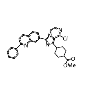 COC(=O)C1CCC(c2nc(-c3ccc4ccc(-c5ccccc5)nc4c3)n3ccnc(Cl)c23)CC1